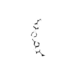 CNC(=O)c1ncc(N2CCN(Cc3cc4c(cn3)OC(C3CC3)C(=O)N4)CC2)cn1